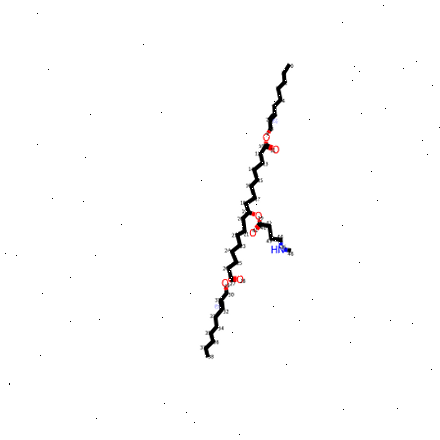 CCCCCC/C=C/COC(=O)CCCCCCCC(CCCCCCCC(=O)OC/C=C/CCCCCC)OC(=O)CCCNC